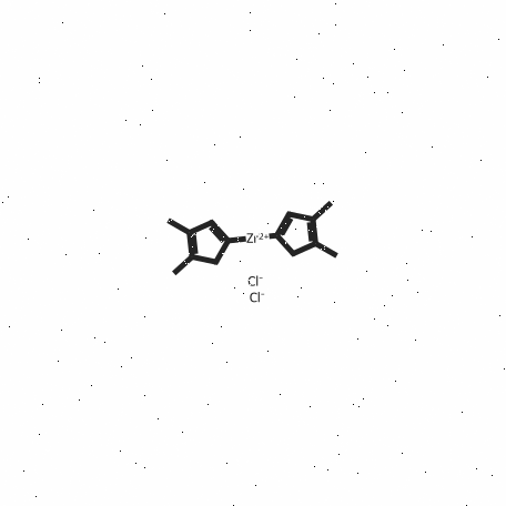 CC1=C(C)C[C]([Zr+2][C]2=CC(C)=C(C)C2)=C1.[Cl-].[Cl-]